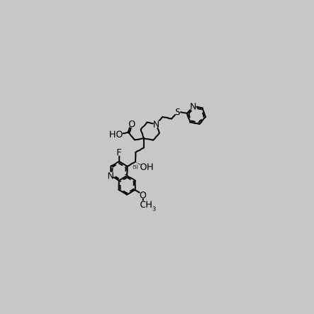 COc1ccc2ncc(F)c([C@@H](O)CCC3(CC(=O)O)CCN(CCSc4ccccn4)CC3)c2c1